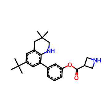 CC1(C)CNc2c(cc(C(C)(C)C)cc2-c2cccc(OC(=O)C3CNC3)c2)C1